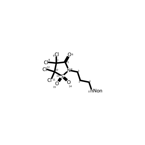 CCCCCCCCCCCCN1C(=O)C(Cl)(Cl)C(Cl)(Cl)S1(=O)=O